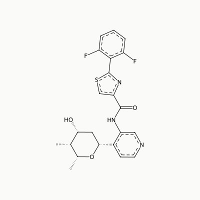 C[C@@H]1[C@H](O)C[C@H](c2ccncc2NC(=O)c2csc(-c3c(F)cccc3F)n2)O[C@@H]1C